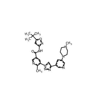 Cc1ncc(C(=O)Nc2cc(C(C)(C)C)on2)cc1-n1cc(-c2cncc(N3CCN(C)CC3)c2)nn1